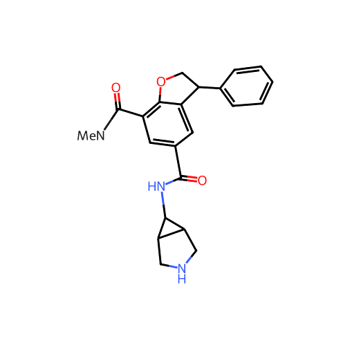 CNC(=O)c1cc(C(=O)NC2C3CNCC32)cc2c1OCC2c1ccccc1